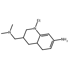 CCN1CC(CN(C)C)CC2CC=C(N)C=C21